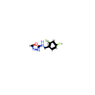 Fc1ccc(CNc2nnco2)c(F)c1